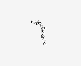 Cc1nc2cc(OC[C@@H](O)CN3CCN(Cc4cc(-c5ccc(-c6ccccc6)cc5)no4)CC3)ccc2s1